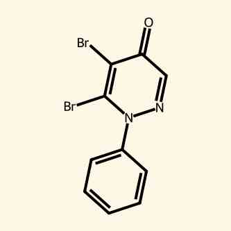 O=c1cnn(-c2ccccc2)c(Br)c1Br